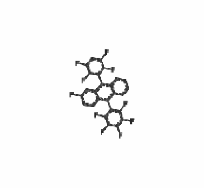 Fc1ccc2c(-c3c(F)c(F)c(F)c(F)c3F)c3ccccc3c(-c3c(F)c(F)cc(F)c3F)c2c1